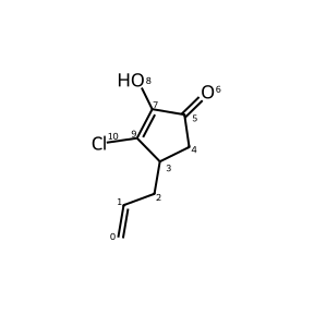 C=CCC1CC(=O)C(O)=C1Cl